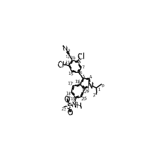 CC(C)n1cc(-c2cc(Cl)c(C#N)c(Cl)c2)c2ccc(NS(C)(=O)=O)cc21